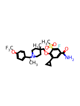 C[C@H](c1ccc(OC(F)(F)F)cc1)N1CCC(C)(COc2c(C3CC3)cc(C(N)=O)c(F)c2S(C)(=O)=O)CC1